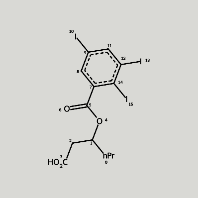 CCCC(CC(=O)O)OC(=O)c1cc(I)cc(I)c1I